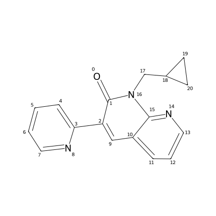 O=c1c(-c2ccccn2)cc2cccnc2n1CC1CC1